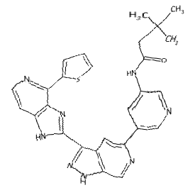 CC(C)(C)CC(=O)Nc1cncc(-c2cc3c(-c4nc5c(-c6cccs6)nccc5[nH]4)n[nH]c3cn2)c1